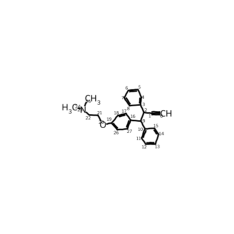 C#CC(c1ccccc1)C(c1ccccc1)c1ccc(OCCN(C)C)cc1